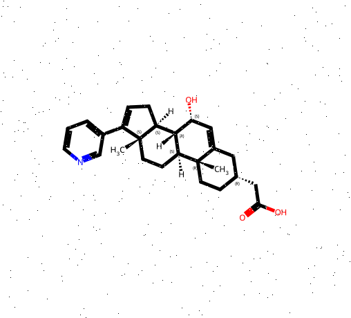 C[C@]12CC[C@@H](CC(=O)O)CC1=C[C@@H](O)[C@@H]1[C@@H]2CC[C@]2(C)C(c3cccnc3)=CC[C@@H]12